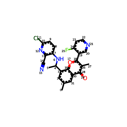 Cc1cc(C(C)Nc2ccc(Cl)nc2C#N)c2oc(-c3cnccc3F)c(C)c(=O)c2c1